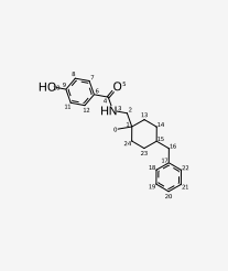 CC1(CNC(=O)c2ccc(O)cc2)CCC(Cc2ccccc2)CC1